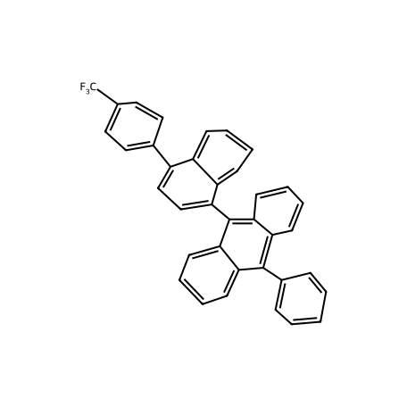 FC(F)(F)c1ccc(-c2ccc(-c3c4ccccc4c(-c4ccccc4)c4ccccc34)c3ccccc23)cc1